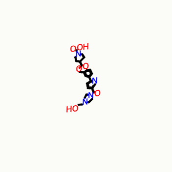 O=C(O)N1CCC(C2OCc3cc(-c4ccc(C(=O)N5CCN(CCO)CC5)cn4)ccc3O2)CC1